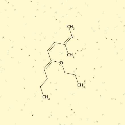 CCC/C=C(/C=C\C(C)=N/C)OCCC